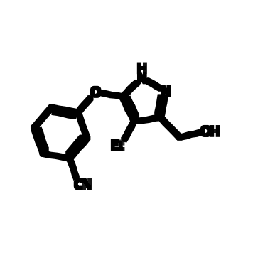 CCc1c(CO)n[nH]c1Oc1cccc(C#N)c1